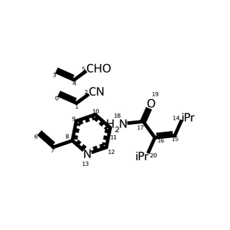 C=CC#N.C=CC=O.C=Cc1ccccn1.CC(C)C=C(C(N)=O)C(C)C